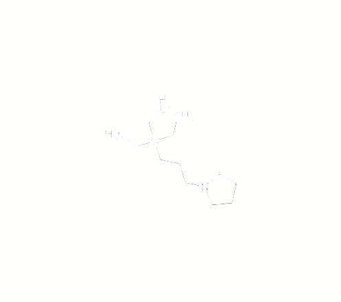 C=C[Si](CC)(CC)CCCN1CCCC1